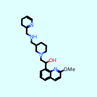 COc1ccc2cccc(C(O)CN3CCCC(CNCC4=NC=CCC4)C3)c2n1